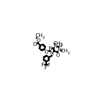 CCOC(=O)c1ccc(Oc2nc3c(c(=O)n(C)c(=O)n3C)n2Cc2cccc(C(F)(F)F)c2)cc1